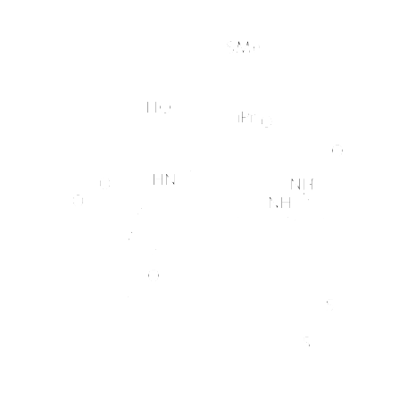 CSCCC1NC(=O)CC2/C=C/CCSSCC(NC1=O)C(=O)NC(C(C)C)C(O)CC(=O)O2